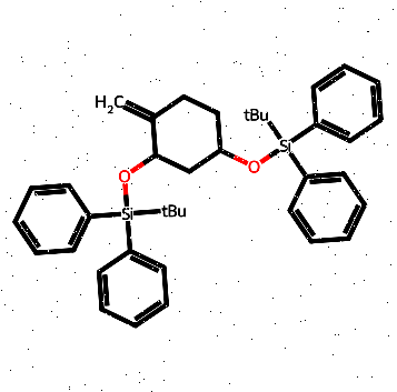 C=C1CCC(O[Si](c2ccccc2)(c2ccccc2)C(C)(C)C)CC1O[Si](c1ccccc1)(c1ccccc1)C(C)(C)C